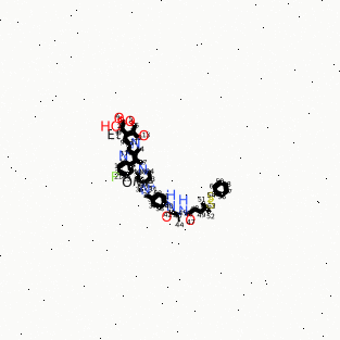 CC[C@@]1(O)C(=O)OCc2c1cc1n(c2=O)Cc2c-1nc1cc(F)c(OC)cc1c2CN1CCC([N+](C)(C)Cc2ccc(NC(=O)[C@H](C)NC(=O)CCC(C)(C)SSc3ccccc3)cc2)CC1